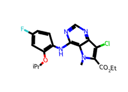 CCOC(=O)c1c(Cl)c2ncnc(Nc3ccc(F)cc3OC(C)C)c2n1C